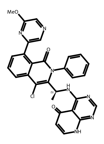 COc1cncc(-c2cccc3c(Cl)c([C@H](C)Nc4ncnc5[nH]ccc(=O)c45)n(-c4ccccc4)c(=O)c23)n1